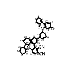 Cc1ccccc1C1=C(NC2C=C(c3cccc(-c4c(N5C6=C(C=CCC6)C6C=CC=CC65)ccc(C#N)c4C#N)c3)C=CC2)CC(C)C=C1